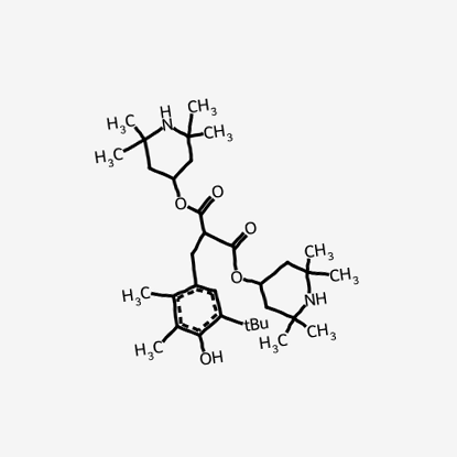 Cc1c(CC(C(=O)OC2CC(C)(C)NC(C)(C)C2)C(=O)OC2CC(C)(C)NC(C)(C)C2)cc(C(C)(C)C)c(O)c1C